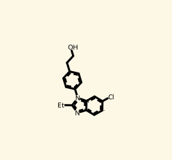 CCc1nc2c[c]c(Cl)cc2n1-c1ccc(CCO)cc1